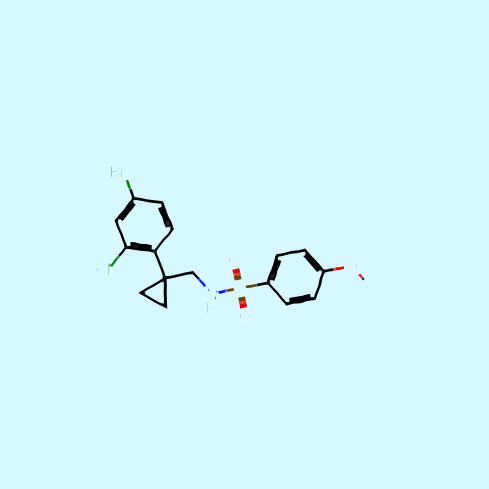 O=S(=O)(NCC1(c2ccc(Br)cc2Cl)CC1)c1ccc(OC(F)(F)F)cc1